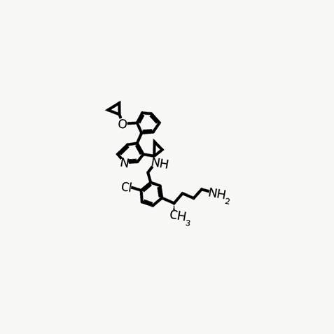 C[C@@H](CCCN)c1ccc(Cl)c(CNC2(c3cnccc3-c3ccccc3OC3CC3)CC2)c1